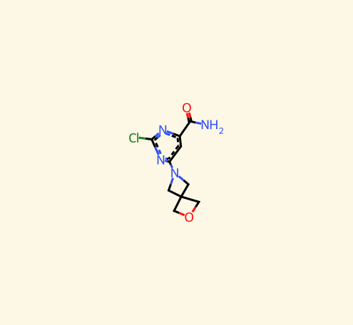 NC(=O)c1cc(N2CC3(COC3)C2)nc(Cl)n1